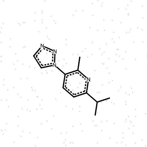 Cc1nc(C(C)C)ccc1-n1ccnn1